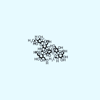 CC(=O)NC1[C@H](OC2C(O)[C@H](O)C(CO)O[C@@H]2O[C@@H]2C(O)[C@H](O[C@@H]3C(CO)O[C@@H](O[C@@H]4C(CO)O[C@@H](C)C(NC(C)=O)[C@H]4O)C(NC(C)=O)[C@H]3O)OC(CO[C@H]3OC(CO)[C@@H](O)[C@H](O)C3CCO)[C@H]2O)OC(CO)[C@@H](O)[C@@H]1O